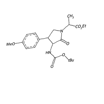 CCOC(=O)C(C)N1CC(c2ccc(OC)cc2)C(NC(=O)OC(C)(C)C)C1=O